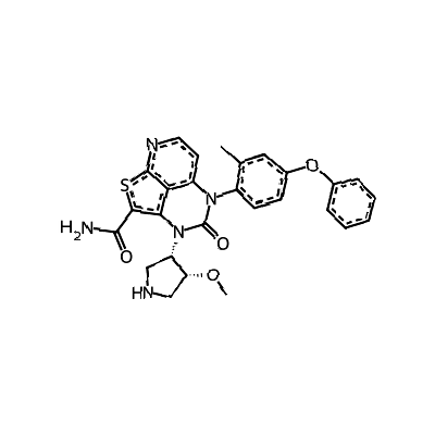 CO[C@@H]1CNC[C@@H]1N1C(=O)N(c2ccc(Oc3ccccc3)cc2C)c2ccnc3sc(C(N)=O)c1c23